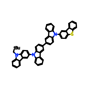 CC(C)(C)Cn1c2ccccc2c2cc(-n3c4ccccc4c4cc(-c5ccc6c(c5)c5ccccc5n6-c5ccc6sc7ccccc7c6c5)ccc43)ccc21